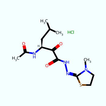 CC(=O)N[C@@H](CC(C)C)C(=O)C(=O)NN=C1SCCN1C.Cl